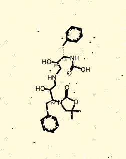 CC1(C)CN([C@@H](Cc2ccccc2)C(O)CNC[C@@H](O)[C@H](Cc2ccccc2)NC(=O)O)C(=O)O1